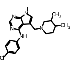 CC1CCN(Cc2c[nH]c3ncnc(Nc4ccc(Cl)cc4)c23)CC1C